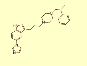 CC(CN1CCN(CCCc2c[nH]c3ccc(-n4ccnc4)cc23)CC1)c1ccccc1